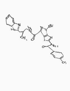 Cc1ccc(C(=O)Nc2nc3c(s2)c(C(=O)NC(C)c2nc4ccccc4[nH]2)nn3C(C)(C)C)cc1